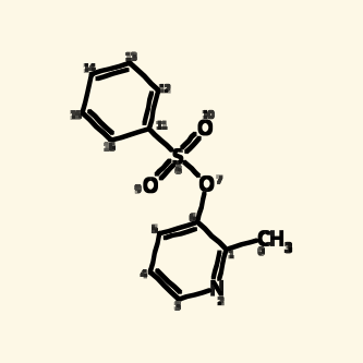 Cc1ncccc1OS(=O)(=O)c1ccccc1